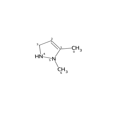 CC1=[C]CNN1C